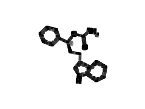 NC(=O)O[C@@H](CCc1c[nH]c2ccccc12)c1ccccc1